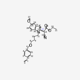 C=Cc1ccc(COCCCCN2/C(=C(\C#N)C(=O)OCC)Sc3cc(OC)ccc32)cc1